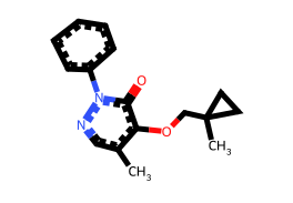 Cc1cnn(-c2ccccc2)c(=O)c1OCC1(C)CC1